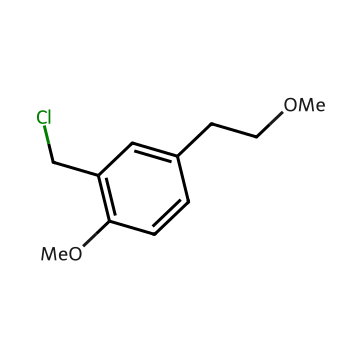 COCCc1ccc(OC)c(CCl)c1